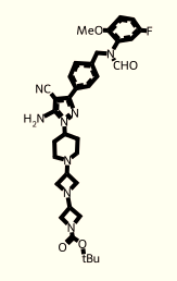 COc1ccc(F)cc1N(C=O)Cc1ccc(-c2nn(C3CCN(C4CN(C5CN(C(=O)OC(C)(C)C)C5)C4)CC3)c(N)c2C#N)cc1